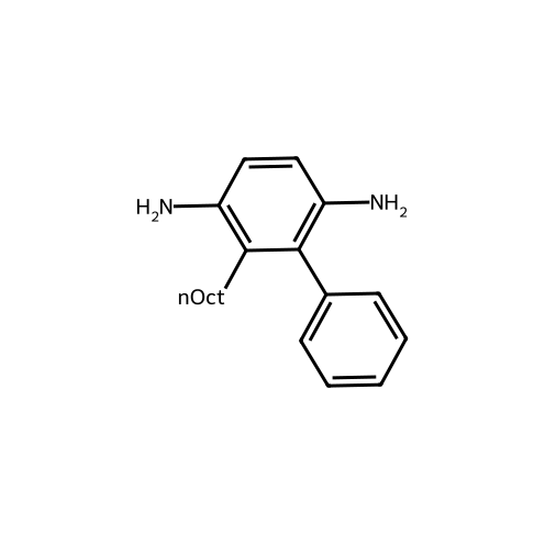 CCCCCCCCc1c(N)ccc(N)c1-c1ccccc1